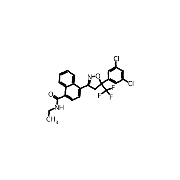 CCNC(=O)c1ccc(C2=NOC(c3cc(Cl)cc(Cl)c3)(C(F)(F)F)C2)c2ccccc12